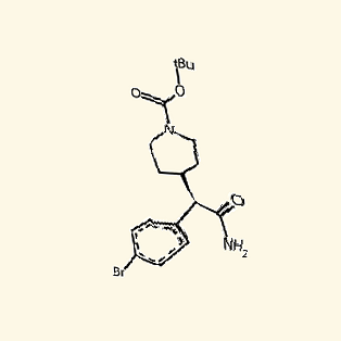 CC(C)(C)OC(=O)N1CCC([C@@H](C(N)=O)c2ccc(Br)cc2)CC1